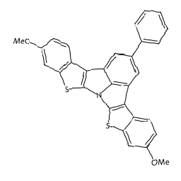 COc1ccc2c(c1)sc1c2c2cc(-c3ccccc3)cc3c4c5ccc(OC)cc5sc4n1c23